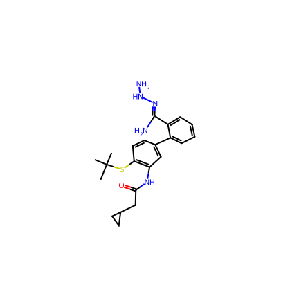 CC(C)(C)Sc1ccc(-c2ccccc2/C(N)=N/NN)cc1NC(=O)CC1CC1